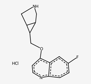 Cl.Fc1ccc2nccc(OCC3C4CNCC43)c2c1